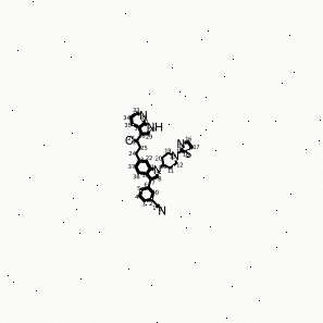 N#Cc1cccc(-c2cn(C3CCN(c4nccs4)CC3)c3cc(CCC(=O)c4c[nH]c5ncccc45)ccc23)c1